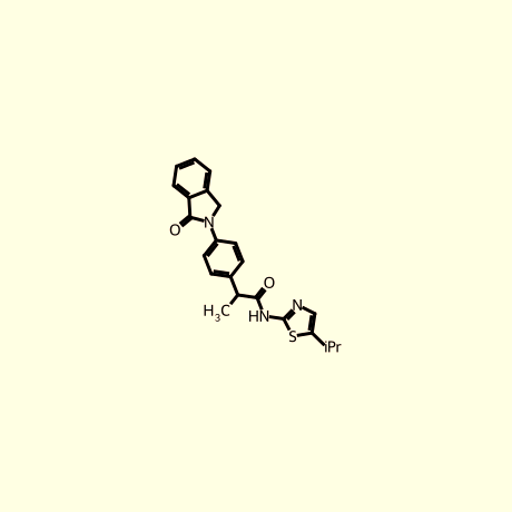 CC(C)c1cnc(NC(=O)C(C)c2ccc(N3Cc4ccccc4C3=O)cc2)s1